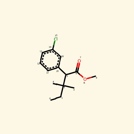 CCC(C)(C)C(C(=O)OC)c1cccc(Cl)c1